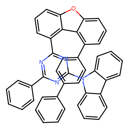 c1ccc(-c2ccc(-c3cccc4oc5cccc(-c6nc(-c7ccccc7)nc(-n7c8ccccc8c8ccccc87)n6)c5c34)cc2)cc1